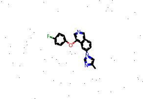 Cc1cn(-c2ccc3cncc(Oc4ccc(F)cc4)c3c2)cn1